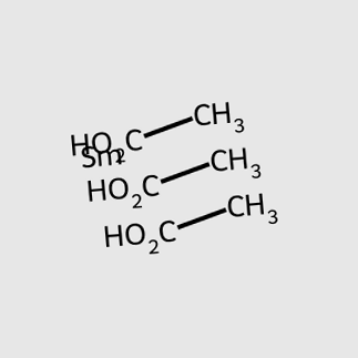 CC(=O)O.CC(=O)O.CC(=O)O.[Sm]